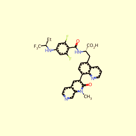 CC[C@@H](Nc1cc(F)c(C(=O)N[C@@H](Cc2ccc(-c3cc4ccncc4n(C)c3=O)c3ncccc23)C(=O)O)c(F)c1)C(F)(F)F